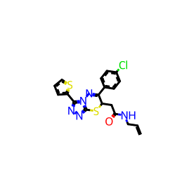 C=CCNC(=O)CC1Sc2nnc(-c3cccs3)n2N=C1c1ccc(Cl)cc1